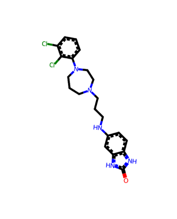 O=c1[nH]c2ccc(NCCCN3CCCN(c4cccc(Cl)c4Cl)CC3)cc2[nH]1